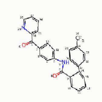 O=C(c1ccc(NC(=O)c2ccccc2-c2ccc(C(F)(F)F)cc2)cc1)c1ccccn1